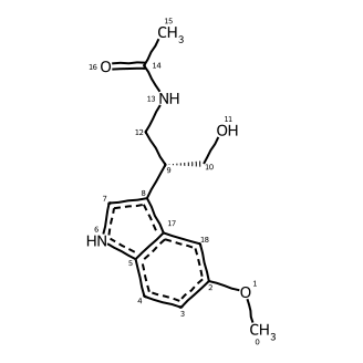 COc1ccc2[nH]cc([C@@H](CO)CNC(C)=O)c2c1